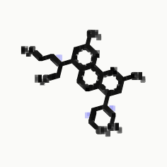 C=C/C=C(\C=C)c1cc(C)nc2c1ccc1c(C(/C=C\C)=C/C)cc(C)nc12